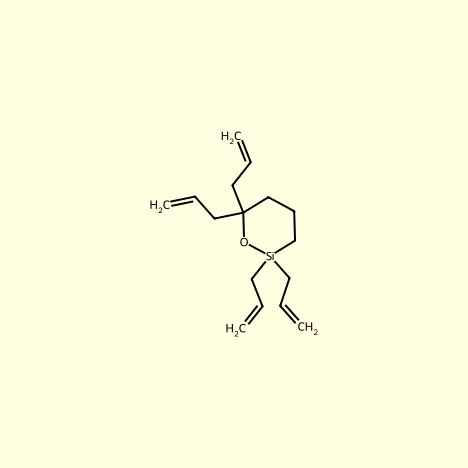 C=CCC1(CC=C)CCC[Si](CC=C)(CC=C)O1